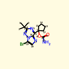 CC(C)(C)c1nc(C2(OC(N)=O)CCCC2)c2ncc(Br)n2n1